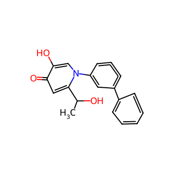 CC(O)c1cc(=O)c(O)cn1C1=CC(c2ccccc2)=C=C=C1